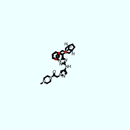 CN1CCN(C(=O)Cn2cc(Nc3nc4c(N5C[C@H]6CC[C@@H](C5)C6OCc5ccccc5)cccn4n3)cn2)CC1